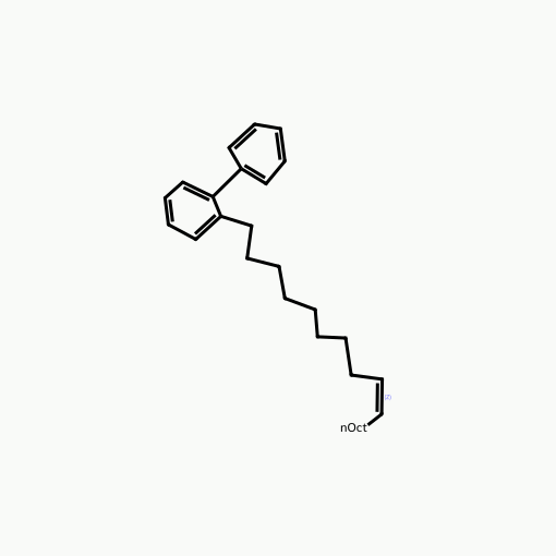 CCCCCCCC/C=C\CCCCCCCCc1ccccc1-c1ccccc1